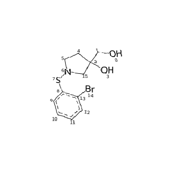 OCC1(O)CCN(Sc2ccccc2Br)C1